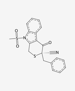 CS(=O)(=O)n1c2c(c3ccccc31)C(=O)[C@@](C#N)(Cc1ccccc1)SC2